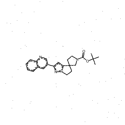 CC(C)(C)OC(=O)N1CCC2(CCn3nc(-c4cnc5ccccc5c4)cc32)C1